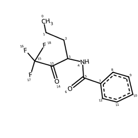 CCCC(NC(=O)c1ccccc1)C(=O)C(F)(F)F